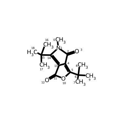 CN1C(=O)C2=C(C(C)(C)C)OC(=O)C2=C1C(C)(C)C